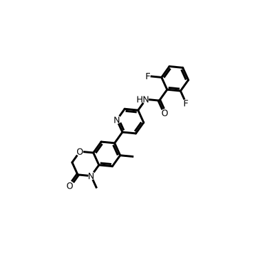 Cc1cc2c(cc1-c1ccc(NC(=O)c3c(F)cccc3F)cn1)OCC(=O)N2C